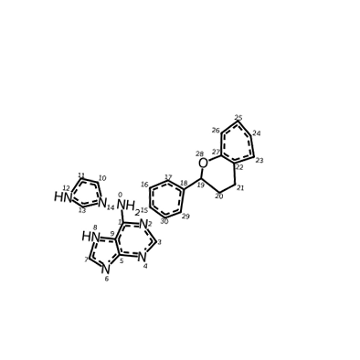 Nc1ncnc2nc[nH]c12.c1c[nH]cn1.c1ccc(C2CCc3ccccc3O2)cc1